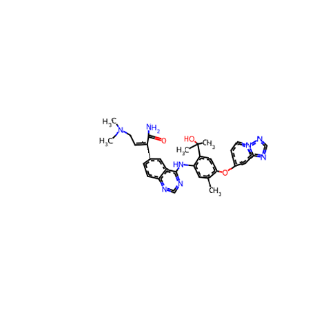 Cc1cc(Nc2ncnc3ccc(C(=CCN(C)C)C(N)=O)cc23)c(C(C)(C)O)cc1Oc1ccn2ncnc2c1